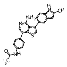 CC(=O)Nc1ccc(-c2cnc(N)c3c(-c4ccc5[nH]c(C)cc5c4)csc23)cc1